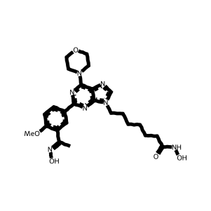 COc1ccc(-c2nc(N3CCOCC3)c3ncn(CCCCCCC(=O)NO)c3n2)cc1/C(C)=N/O